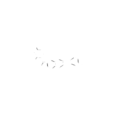 O=C1CC[C@@H](c2coc3cc4ccc(Oc5ccc(F)cc5)cc4cc23)C(=O)N1